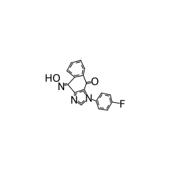 O=C1c2ccccc2C(=NO)c2ncn(-c3ccc(F)cc3)c21